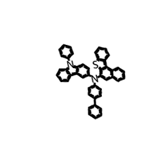 c1ccc(-c2ccc(N(c3ccc4c(c3)c3ccccc3n4-c3ccccc3)c3cc4ccccc4c4c3sc3ccccc34)cc2)cc1